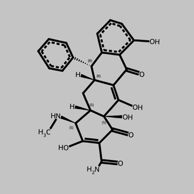 CN[C@@H]1C(O)=C(C(N)=O)C(=O)[C@@]2(O)C(O)=C3C(=O)c4c(O)cccc4[C@@H](c4ccccc4)[C@H]3C[C@@H]12